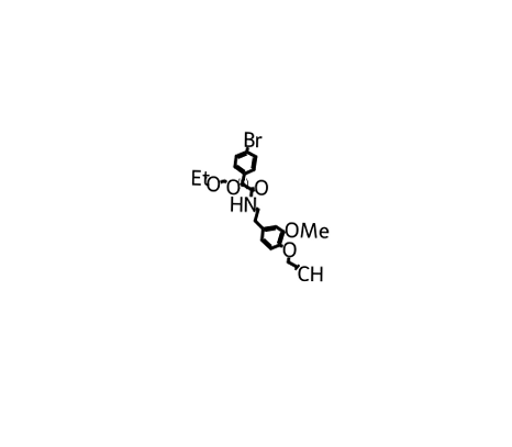 C#CCOc1ccc(CCNC(=O)[C@@H](OCOCC)c2ccc(Br)cc2)cc1OC